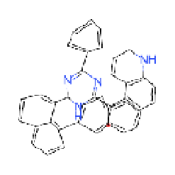 C1=Cc2c(cccc2-c2ccc(-c3cccc4cccc(C5N=C(c6ccccc6)N=C(c6ccccc6)N5)c34)cc2)NC1